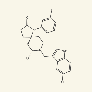 C[C@@H]1C[C@]2(CCC(=O)N2c2cccc(F)c2)CCN1Cc1c[nH]c2ccc(Cl)cc12